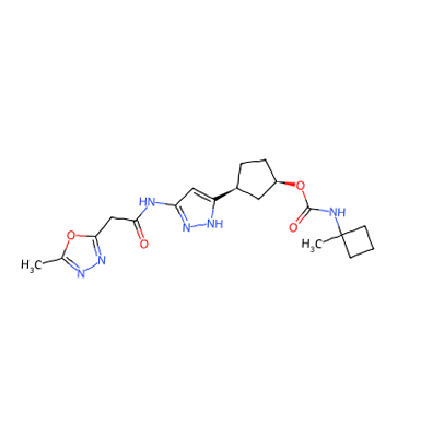 Cc1nnc(CC(=O)Nc2cc([C@H]3CC[C@@H](OC(=O)NC4(C)CCC4)C3)[nH]n2)o1